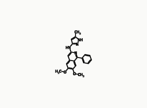 COc1cc2cc(Nc3cc(C)[nH]n3)nc(-c3ccccc3)c2cc1OC